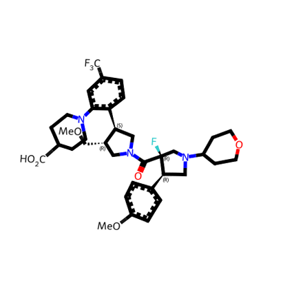 COC[C@H]1CN(C(=O)[C@]2(F)CN(C3CCOCC3)C[C@H]2c2ccc(OC)cc2)C[C@@H]1c1ccc(C(F)(F)F)cc1N1CCC(C(=O)O)CC1